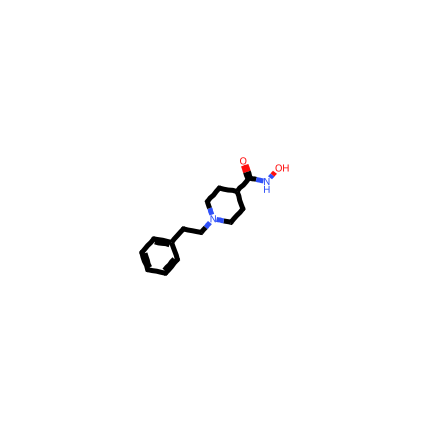 O=C(NO)C1CCN(CCc2ccccc2)CC1